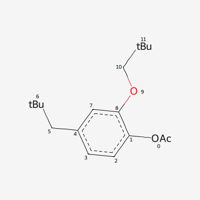 CC(=O)Oc1ccc(CC(C)(C)C)cc1OCC(C)(C)C